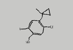 CC1(c2cc(I)c(O)cc2Cl)CC1